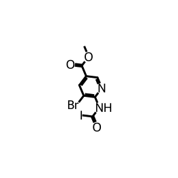 COC(=O)c1cnc(NC(=O)I)c(Br)c1